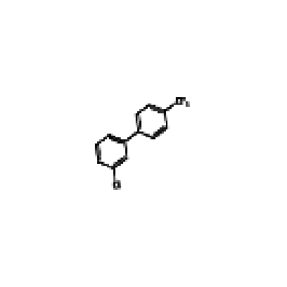 FC(F)(F)c1ccc(-c2cccc(Cl)c2)cc1